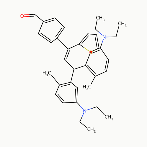 CCN(CC)c1ccc(C)c(C(C=C(c2ccc(C=O)cc2)c2cccs2)c2cc(N(CC)CC)ccc2C)c1